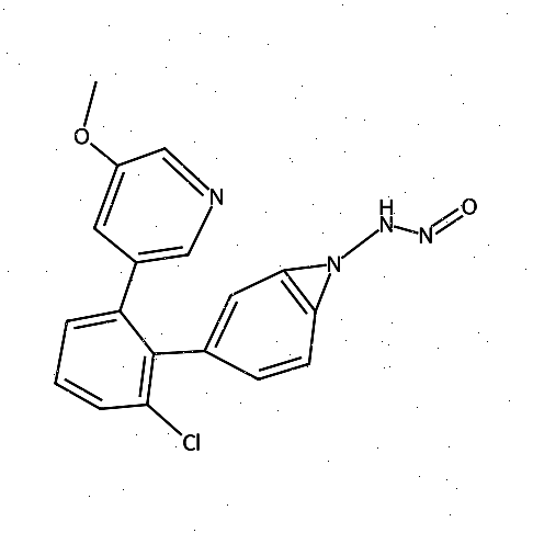 COc1cncc(-c2cccc(Cl)c2-c2ccc3c(c2)N3NN=O)c1